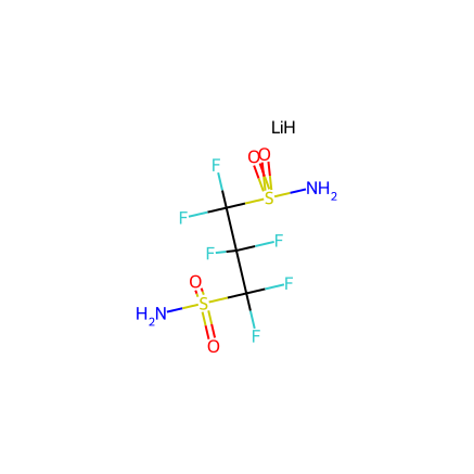 NS(=O)(=O)C(F)(F)C(F)(F)C(F)(F)S(N)(=O)=O.[LiH]